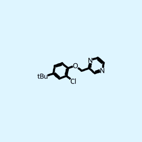 CC(C)(C)c1ccc(OCc2cnccn2)c(Cl)c1